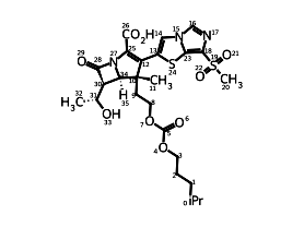 CC(C)CCCOC(=O)OCC[C@@]1(C)C(c2cn3cnc(S(C)(=O)=O)c3s2)=C(C(=O)O)N2C(=O)[C@H]([C@@H](C)O)[C@@H]21